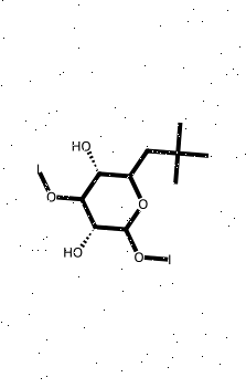 CC(C)(C)CC1OC(OI)[C@H](O)C(OI)[C@@H]1O